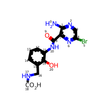 Nc1ncc(Br)nc1C(=O)Nc1cccc(CNC(=O)O)c1O